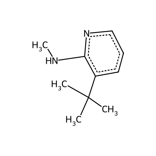 CNc1ncccc1C(C)(C)C